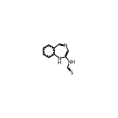 S=CNC1=CN=Cc2ccccc2N1